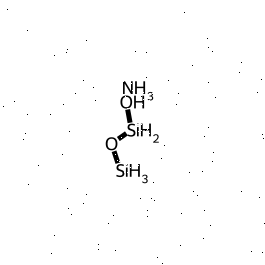 N.O[SiH2]O[SiH3]